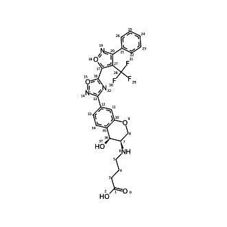 O=C(O)CCCN[C@@H]1COc2cc(-c3noc(-c4onc(-c5ccccc5)c4C(F)(F)F)n3)ccc2[C@@H]1O